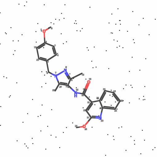 COc1ccc(Cn2nc(C)c(NC(=O)c3cc(OC)nc4ccccc34)c2C)cc1